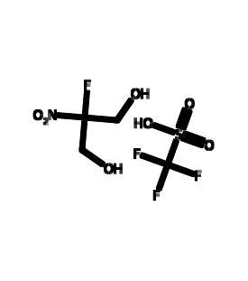 O=S(=O)(O)C(F)(F)F.O=[N+]([O-])C(F)(CO)CO